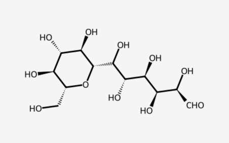 O=C[C@H](O)[C@@H](O)[C@H](O)[C@H](O)C(O)[C@@H]1O[C@H](CO)[C@@H](O)[C@H](O)[C@H]1O